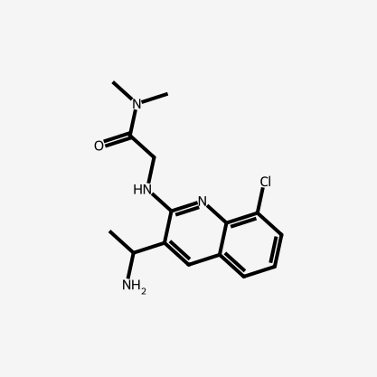 CC(N)c1cc2cccc(Cl)c2nc1NCC(=O)N(C)C